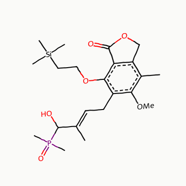 COc1c(C)c2c(c(OCC[Si](C)(C)C)c1C/C=C(\C)C(O)P(C)(C)=O)C(=O)OC2